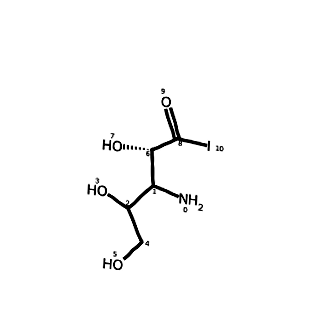 NC(C(O)CO)[C@H](O)C(=O)I